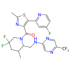 Cc1nc(C(=O)N2CC(F)(F)CC(C)C2CNc2cnc(C(F)(F)F)cn2)c(-c2cc(F)ccn2)s1